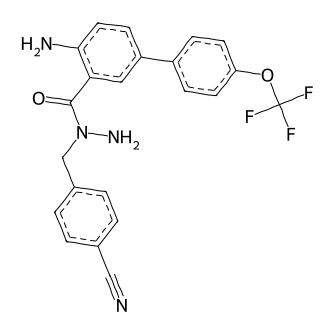 N#Cc1ccc(CN(N)C(=O)c2cc(-c3ccc(OC(F)(F)F)cc3)ccc2N)cc1